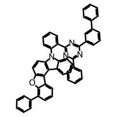 c1ccc(-c2cccc(-c3nc(-c4ccccc4)nc(-c4ccccc4-n4c5ccccc5c5c6c(ccc54)oc4c(-c5ccccc5)cccc46)n3)c2)cc1